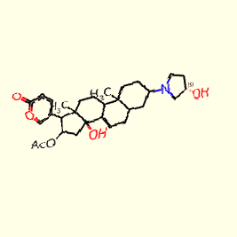 CC(=O)OC1CC2(O)C3CCC4CC(N5CC[C@H](O)C5)CCC4(C)C3CCC2(C)C1c1ccc(=O)oc1